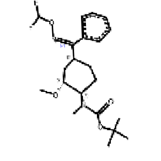 CO[C@@H]1C[C@@H](/C(=N/OC(F)F)c2ccccc2)CC[C@H]1N(C)C(=O)OC(C)(C)C